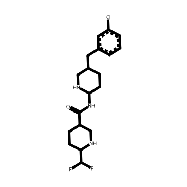 O=C(NC1CCC(Cc2cccc(Cl)c2)CN1)C1CCC(C(F)F)NC1